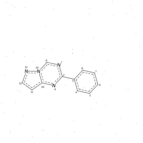 [c]1nc(-c2ccccc2)nc2ccnn12